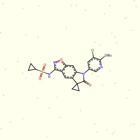 CC(C)COc1ncc(N2C(=O)C3(CC3)c3cc4c(NS(=O)(=O)C5CC5)noc4cc32)cc1Cl